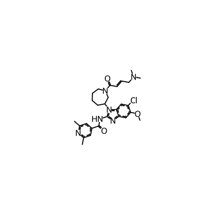 COc1cc2nc(NC(=O)c3cc(C)nc(C)c3)n(C3CCCCN(C(=O)C=CCN(C)C)C3)c2cc1Cl